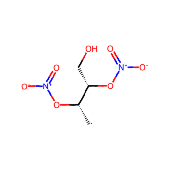 [CH2][C@H](O[N+](=O)[O-])[C@H](CO)O[N+](=O)[O-]